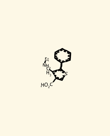 CCN.Cc1c(C(=O)O)csc1-c1ccccc1